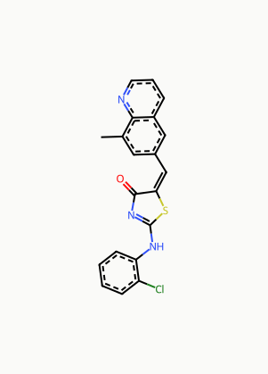 Cc1cc(C=C2SC(Nc3ccccc3Cl)=NC2=O)cc2cccnc12